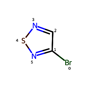 Brc1[c]nsn1